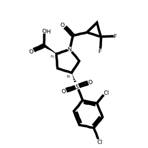 O=C(O)[C@@H]1C[C@@H](S(=O)(=O)c2ccc(Cl)cc2Cl)CN1C(=O)C1CC1(F)F